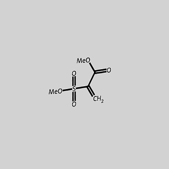 C=C(C(=O)OC)S(=O)(=O)OC